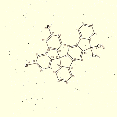 CC1(C)c2ccccc2-c2cc3c(cc21)-c1ccccc1C3(c1ccc(Br)cc1)c1ccc(Br)cc1